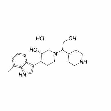 Cc1cccc2c(C3CCN(C(CO)C4CCNCC4)CC3O)c[nH]c12.Cl